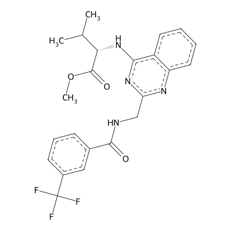 COC(=O)[C@@H](Nc1nc(CNC(=O)c2cccc(C(F)(F)F)c2)nc2ccccc12)C(C)C